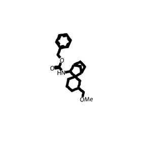 COCC1CCCC2(C1)C1CCC(C1)C2NC(=O)OCc1ccccc1